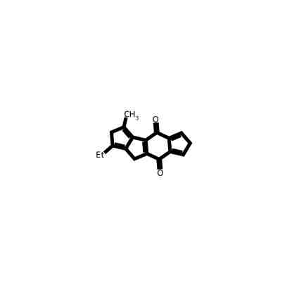 CCC1=C2CC3=C(C(=O)C4=CCC=C4C3=O)C2=C(C)C1